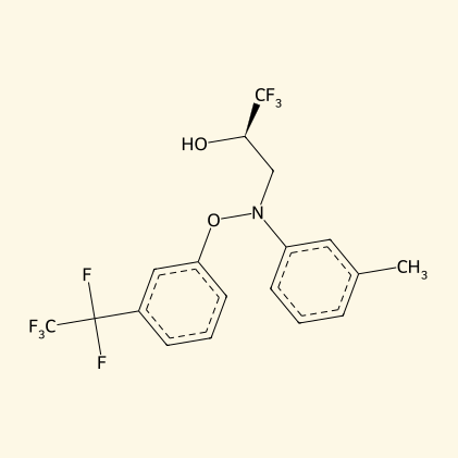 Cc1cccc(N(C[C@@H](O)C(F)(F)F)Oc2cccc(C(F)(F)C(F)(F)F)c2)c1